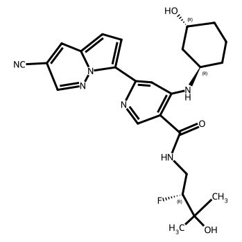 CC(C)(O)[C@H](F)CNC(=O)c1cnc(-c2ccc3cc(C#N)cnn23)cc1N[C@@H]1CCC[C@@H](O)C1